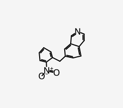 O=[N+]([O-])c1ccccc1Cc1ccc2ccncc2c1